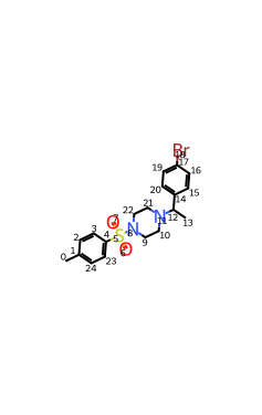 Cc1ccc(S(=O)(=O)N2CCN(C(C)c3ccc(Br)cc3)CC2)cc1